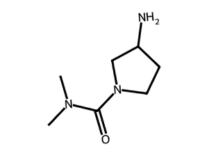 CN(C)C(=O)N1CCC(N)C1